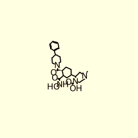 CN1CCN(C(=O)O)C(C2CC[C@H](C(=O)N3CCC(c4ccccc4)CC3)C(C(=O)NO)C2)C1